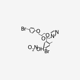 Cc1cc(Br)ccc1C1(Cn2ccnc2)OCC(COc2ccc(Br)cc2)O1.O=[N+]([O-])O